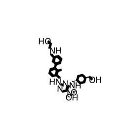 Cc1c(CNc2ncc([N+](=O)O)c(NC[C@H]3CC[C@H](CO)CC3)n2)cccc1-c1cccc(CNCCO)c1